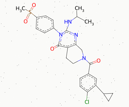 CC(C)Nc1nc2c(c(=O)n1-c1ccc(S(C)(=O)=O)cc1)CCN(C(=O)c1ccc(Cl)c(C3CC3)c1)C2